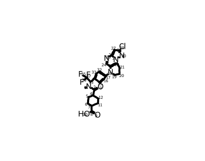 CN(C(=O)C1CCC(C(=O)O)CC1)[C@@H](c1ccc(N2CCCc3c2cnc2cc(Cl)nn32)cc1)C(F)(F)F